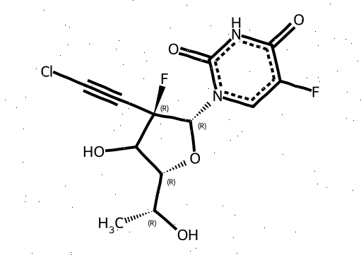 C[C@@H](O)[C@H]1O[C@@H](n2cc(F)c(=O)[nH]c2=O)[C@@](F)(C#CCl)C1O